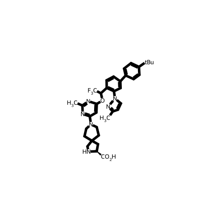 Cc1ccn(-c2cc(-c3ccc(C(C)(C)C)cc3)ccc2C(Oc2cc(N3CCC4(CC3)CN[C@H](C(=O)O)C4)nc(C)n2)C(F)(F)F)n1